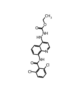 CCOC(=O)NNc1ccnc2c(NC(=O)c3c(Cl)cccc3Cl)cccc12